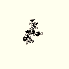 CCC[C@H](NC(=O)[C@@H]1C[C@@H](Oc2ccc(Cl)cn2)CN1C(=O)[C@@H](NC(=O)[C@@H](Nc1nc(OC)nc(OC)n1)C1CCCCC1)C(C)(C)C)C(=O)C(=O)NC1CC1